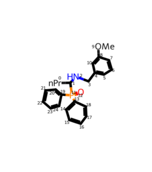 CCCC(NCc1cccc(OC)c1)P(=O)(c1ccccc1)c1ccccc1